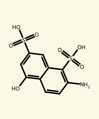 Nc1ccc2c(O)cc(S(=O)(=O)O)cc2c1S(=O)(=O)O